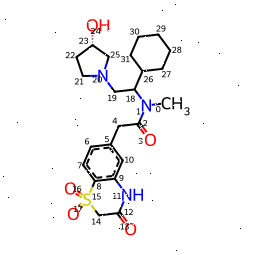 CN(C(=O)Cc1ccc2c(c1)NC(=O)CS2(=O)=O)C(CN1CC[C@H](O)C1)C1CCCCC1